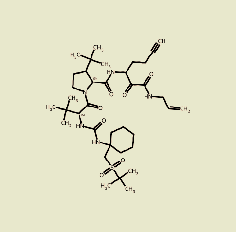 C#CCCC(NC(=O)[C@@H]1C(C(C)(C)C)CCN1C(=O)[C@@H](NC(=O)NC1(CS(=O)(=O)C(C)(C)C)CCCCC1)C(C)(C)C)C(=O)C(=O)NCC=C